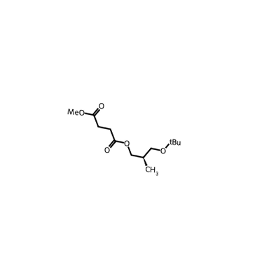 COC(=O)CCC(=O)OC[C@H](C)COC(C)(C)C